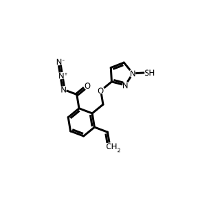 C=Cc1cccc(C(=O)N=[N+]=[N-])c1COc1ccn(S)n1